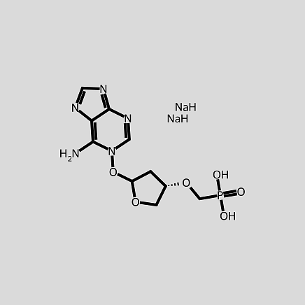 Nc1c2ncnc-2ncn1OC1C[C@H](OCP(=O)(O)O)CO1.[NaH].[NaH]